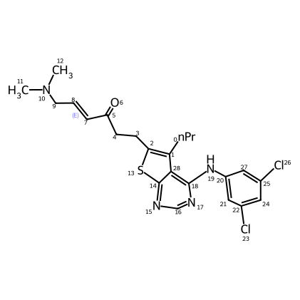 CCCc1c(CCC(=O)/C=C/CN(C)C)sc2ncnc(Nc3cc(Cl)cc(Cl)c3)c12